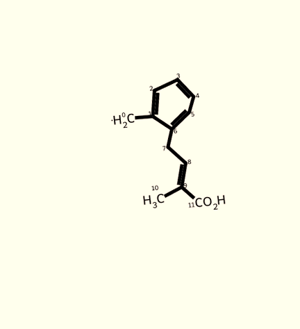 [CH2]c1ccccc1CC=C(C)C(=O)O